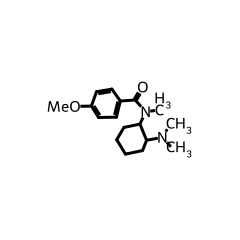 COc1ccc(C(=O)N(C)C2CCCCC2N(C)C)cc1